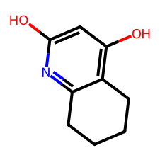 Oc1cc(O)c2c(n1)CCCC2